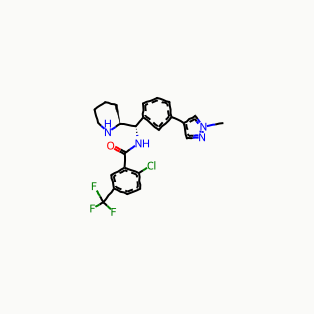 Cn1cc(-c2cccc([C@H](NC(=O)c3cc(C(F)(F)F)ccc3Cl)[C@@H]3CCCCN3)c2)cn1